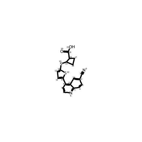 N#Cc1ccc2nccc(-c3ccc(SC4CCC4C(=O)O)s3)c2c1